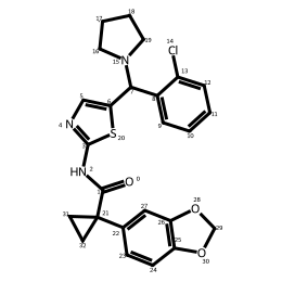 O=C(Nc1ncc(C(c2ccccc2Cl)N2C[CH]CC2)s1)C1(c2ccc3c(c2)OCO3)CC1